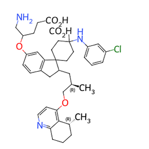 C[C@@H](COc1ccnc2c1[C@H](C)CCC2)CC1Cc2ccc(OC(CN)CCC(=O)O)cc2C12CCC(Nc1cccc(Cl)c1)(C(=O)O)CC2